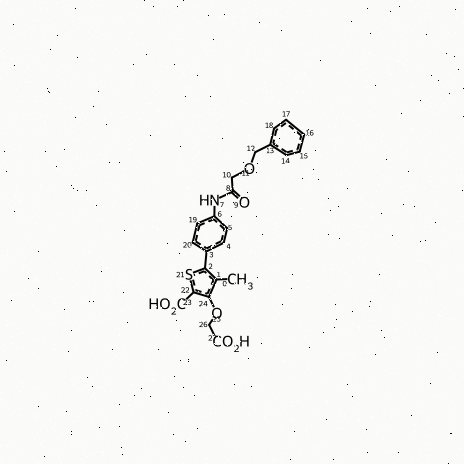 Cc1c(-c2ccc(NC(=O)COCc3ccccc3)cc2)sc(C(=O)O)c1OCC(=O)O